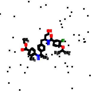 C=C(Nc1ccc(C(=O)OCC)cc1C)c1ccc(C[C@@H](CCO)NC(=O)c2ccc(OC(C)C)c(Cl)c2)cc1